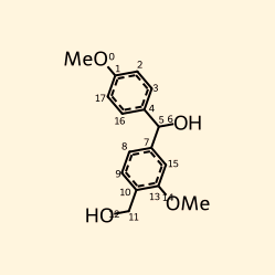 COc1ccc(C(O)c2ccc(CO)c(OC)c2)cc1